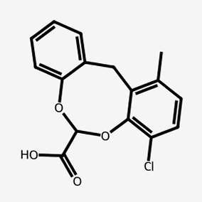 Cc1ccc(Cl)c2c1Cc1ccccc1OC(C(=O)O)O2